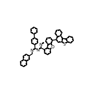 C=N/C(=N\C(=N/Cc1ccc2ccccc2c1)c1ccc(-c2ccccc2)cc1)c1cccc2oc3c(-c4cc5sc6ccccc6c5c5ccccc45)cccc3c12